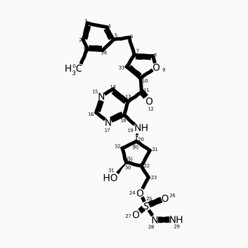 Cc1cccc(Cc2coc(C(=O)c3cncnc3N[C@@H]3CC(COS(=O)(=O)N=N)[C@@H](O)C3)c2)c1